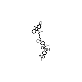 O=C(Nc1ccc(OC(F)(F)F)cc1)NC1CCN(C(=O)CCCCNc2c3c(nc4cc(Cl)ccc24)CCCC3)CC1